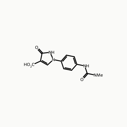 CNC(=O)Nc1ccc(-n2cc(C(=O)O)c(=O)[nH]2)cc1